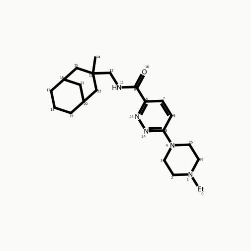 CCN1CCN(c2ccc(C(=O)NCC3(C)CC4CCCC(C4)C3)nn2)CC1